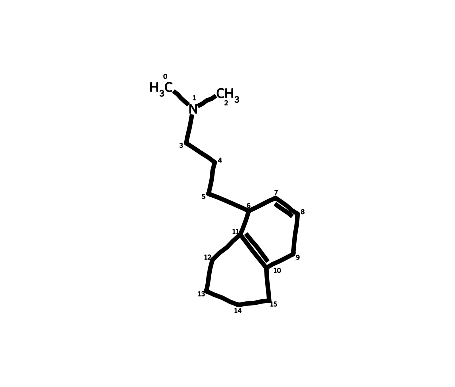 CN(C)CCCC1C=CCC2=C1CCCC2